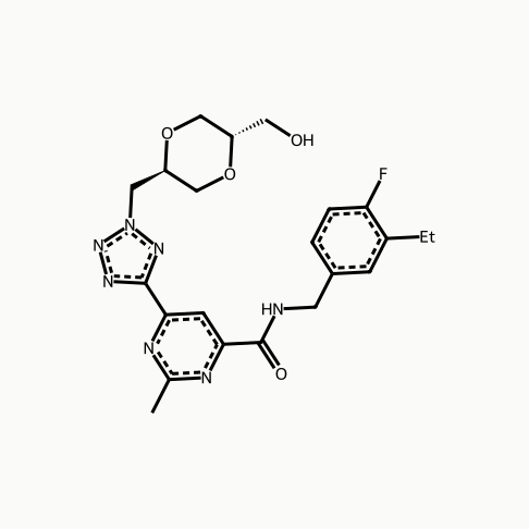 CCc1cc(CNC(=O)c2cc(-c3nnn(C[C@@H]4CO[C@@H](CO)CO4)n3)nc(C)n2)ccc1F